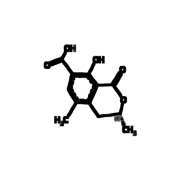 Cc1cc(C(=O)O)c(O)c2c1C[C@@H](C)OC2=O